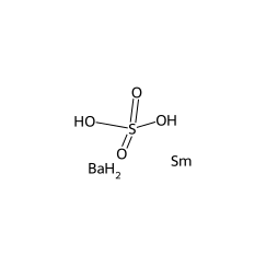 O=S(=O)(O)O.[BaH2].[Sm]